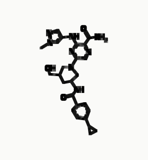 Cn1cc(Nc2nc(N3CC(CO)CC(NC(=O)c4ccc(C5CC5)cc4)C3)cnc2C(N)=O)cn1